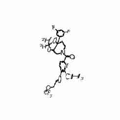 [2H]C1([2H])OC2CN(C(=O)c3ccc(OCCOC(F)(F)F)c(C)n3)CCC2(c2cc(F)cc(F)c2)O1